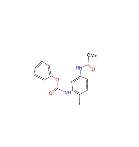 COC(=O)Nc1ccc(C)c(NC(=O)Oc2ccccc2)c1